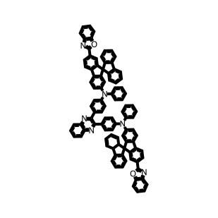 C1=CC2c3ccccc3C3(c4cc(-c5nc6ccccc6o5)ccc4-c4ccc(N(c5ccccc5)c5ccc(-c6nc7ccccc7nc6-c6ccc(N(c7ccccc7)c7ccc8c(c7)C7(c9ccccc9-c9ccccc97)c7cc(-c9nc%10ccccc%10o9)ccc7-8)cc6)cc5)cc43)C2C=C1